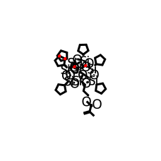 C=C(C)C(=O)OCCC[Si]12O[Si]3(C)O[Si]4(C5CCCC5)O[Si](C5CCCC5)(O1)O[Si]1(C5CCCC5)O[Si](C5CCCC5)(O2)O[Si](C2CCCC2)(O3)O[Si](C2CCCC2)(O4)O1